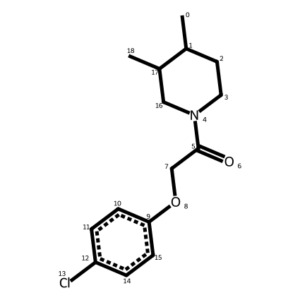 CC1CCN(C(=O)COc2ccc(Cl)cc2)CC1C